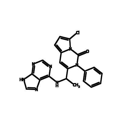 CC(Nc1ncnc2[nH]cnc12)c1cc2ccc(Cl)n2c(=O)n1-c1ccccc1